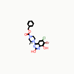 C[C@H]1CN(C(=O)OCc2ccccc2)CCN1c1nc(O)nc2c(O)c(Br)c(Cl)cc12